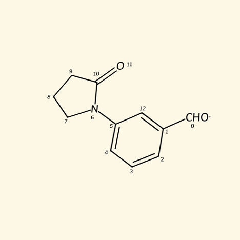 O=[C]c1cccc(N2CCCC2=O)c1